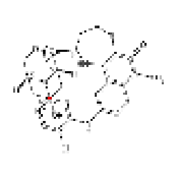 Cn1c(=O)c2c(c3cc(Nc4nc(N5[C@@H]6COC[C@H]5C[C@@H](O)C6)ncc4Cl)ccc31)N[C@@H](C1CC1)CCS2